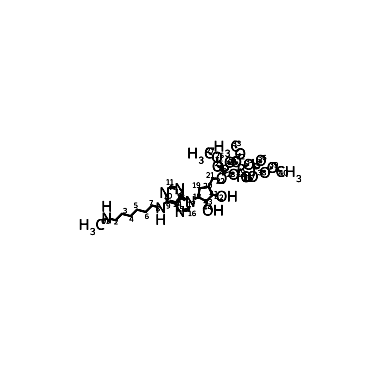 CNCCCCCCNc1ncnc2c1ncn2C1CC(COP(=O)(OOC)OP(=O)(OOC)OP(=O)(O)OOC)C(O)C1O